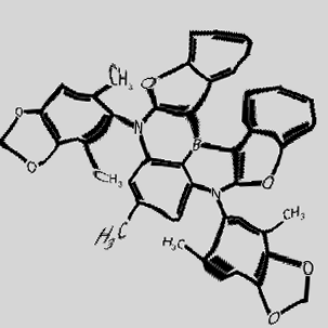 Cc1cc2c3c(c1)N(c1c(C)cc4c(c1C)OCO4)c1oc4ccccc4c1B3c1c(oc3ccccc13)N2c1c(C)cc2c(c1C)OCO2